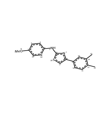 COc1ccc(Nc2nc(-c3ccc(C)c(C)c3)cs2)nc1